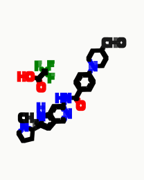 CN1CCC[C@@H]1c1cc2cnc(NC(=O)c3ccc(N4CCC(C=O)CC4)cc3)cc2[nH]1.O=C(O)C(F)(F)F